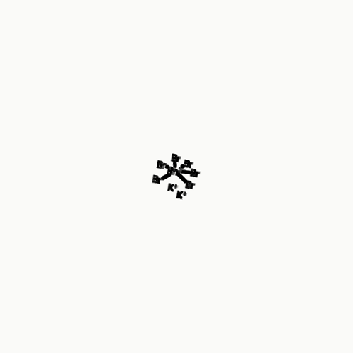 [Br][Rh-2]([Br])([Br])([Br])([Br])[Br].[K+].[K+]